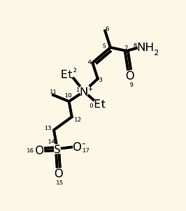 CC[N+](CC)(CC=C(C)C(N)=O)C(C)CCS(=O)(=O)[O-]